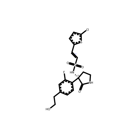 O=C1NCC[C@]1(NS(=O)(=O)/C=C/c1ccc(Cl)s1)c1ccc(CCO)cc1F